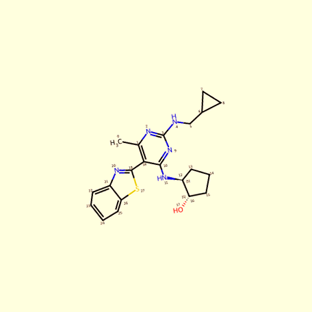 Cc1nc(NCC2CC2)nc(N[C@H]2CCC[C@@H]2O)c1-c1nc2ccccc2s1